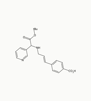 CC(C)(C)OC(=O)C(NCC=Cc1ccc(C(=O)O)cc1)c1cccnc1